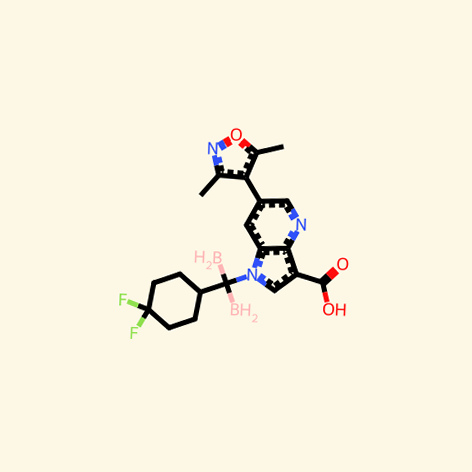 BC(B)(C1CCC(F)(F)CC1)n1cc(C(=O)O)c2ncc(-c3c(C)noc3C)cc21